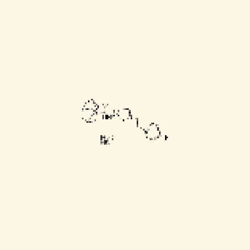 Cl.O.O=C(N[C@H]1CCN(CCc2ccc(F)cc2)C1)C12CC3CC(CC(C3)C1)C2